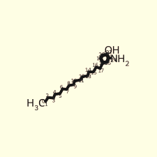 CCCCCCCCCCCCCCCCCCc1ccc(O)c(N)c1